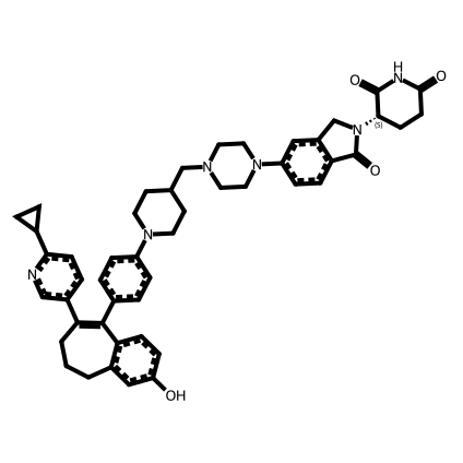 O=C1CC[C@H](N2Cc3cc(N4CCN(CC5CCN(c6ccc(C7=C(c8ccc(C9CC9)nc8)CCCc8cc(O)ccc87)cc6)CC5)CC4)ccc3C2=O)C(=O)N1